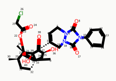 CC1[C@H](C2=CCn3c(=O)n(-c4ccccc4)c(=O)n3C2)CC(OC(=O)CCl)[C@]2(C)[C@H](C)CC[C@]13C[C@H](O)C(=O)[C@]32O